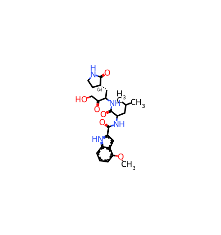 COc1cccc2[nH]c(C(=O)NC(CC(C)C)C(=O)NC(C[C@@H]3CCNC3=O)C(=O)CO)cc12